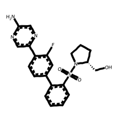 Nc1cnc(-c2ccc(-c3ccccc3S(=O)(=O)N3CCC[C@@H]3CO)cc2F)cn1